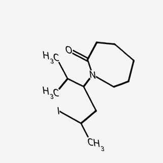 CC(I)CC(C(C)C)N1CCCCCC1=O